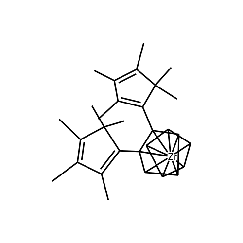 CC1=C(C)C(C)(C)C([C]23[CH]4[CH]5[CH]6[C]2(C2=C(C)C(C)=C(C)C2(C)C)[Zr]54632789[CH]3[CH]2[CH]7[CH]8[CH]39)=C1C